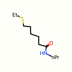 CCCNC(=O)CCCCCSCC